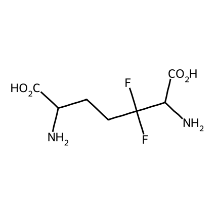 NC(CCC(F)(F)C(N)C(=O)O)C(=O)O